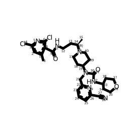 Cc1cc(Cl)nc(Cl)c1C(=O)NCC[C@@H](C)N1CCC(N(Cc2cccc(C#N)n2)C(=O)NC2CCOCC2)CC1